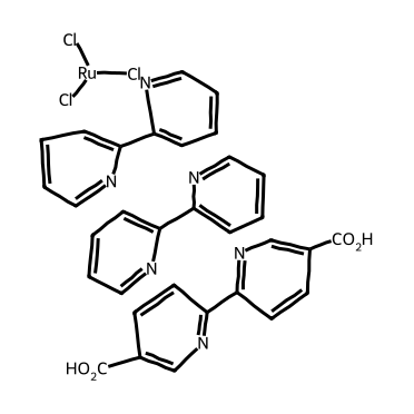 O=C(O)c1ccc(-c2ccc(C(=O)O)cn2)nc1.[Cl][Ru]([Cl])[Cl].c1ccc(-c2ccccn2)nc1.c1ccc(-c2ccccn2)nc1